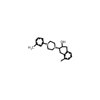 Cc1cccc(N2CCN(C3Cc4c(I)cccc4CC3O)CC2)c1